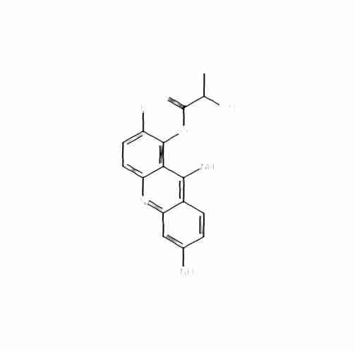 CCc1ccc2nc3cc(N)ccc3c(N)c2c1OC(=O)C(C)O